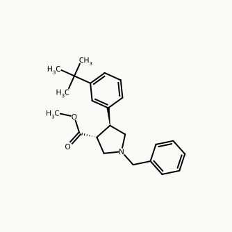 COC(=O)[C@H]1CN(Cc2ccccc2)C[C@@H]1c1cccc(C(C)(C)C)c1